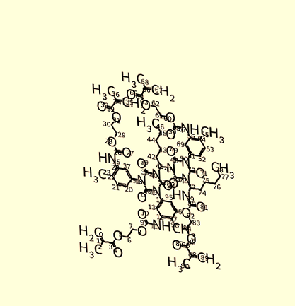 C=C(C)C(=O)OCCOC(=O)Nc1cc(-n2c(=O)n(-c3ccc(C)c(NC(=O)OCCOC(=O)C(=C)C)c3)c(=O)n(C(CCCCC)n3c(=O)n(-c4ccc(C)c(NC(=O)OCCOC(=O)C(=C)C)c4)c(=O)n(C(CCCCC)NC(=O)OCCOC(=O)C(=C)C)c3=O)c2=O)ccc1C